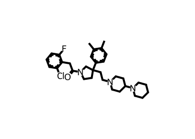 Cc1ccc(C2(CCN3CCC(N4CCCCC4)CC3)CCN(C(=O)Cc3c(F)cccc3Cl)C2)cc1C